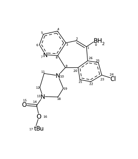 BC1=Cc2cccnc2C(N2CCN(C(=O)OC(C)(C)C)CC2)c2ccc(Cl)cc21